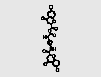 O=C(NC12CC(NC(=O)C3CC(=O)c4cc(Cl)ccc4O3)(C1)C2)OC(=O)C1CC(=O)c2cc(Cl)ccc2O1